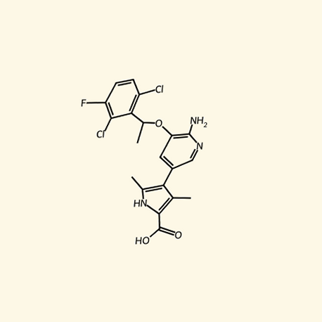 Cc1[nH]c(C(=O)O)c(C)c1-c1cnc(N)c(OC(C)c2c(Cl)ccc(F)c2Cl)c1